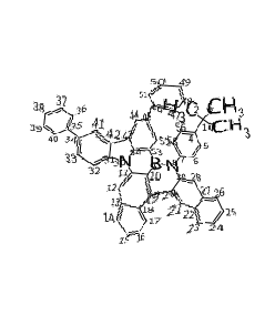 CC(C)(C)c1ccc(N2B3c4c(cc5ccccc5c4-c4cc5ccccc5cc42)-n2c4ccc(-c5ccccc5)cc4c4cc(-c5ccccc5)cc3c42)cc1